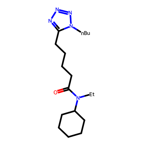 CCCCn1nnnc1CCCCC(=O)N(CC)C1CCCCC1